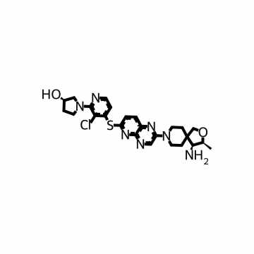 C[C@@H]1OCC2(CCN(c3cnc4nc(Sc5ccnc(N6CC[C@@H](O)C6)c5Cl)ccc4n3)CC2)[C@@H]1N